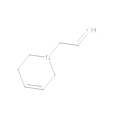 C=CCN1CC=CCC1